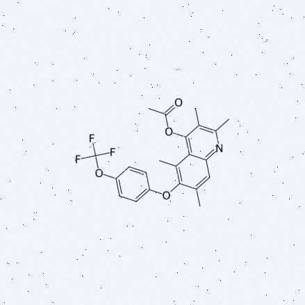 CC(=O)Oc1c(C)c(C)nc2cc(C)c(Oc3ccc(OC(F)(F)F)cc3)c(C)c12